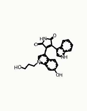 O=C1NC(=O)C(c2cn(CCCO)c3cc(O)ccc23)=C1c1c[nH]c2ccccc12